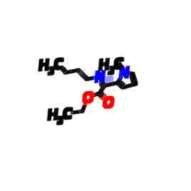 CCCC/N=C(\C(=O)OCC)c1cccn1C